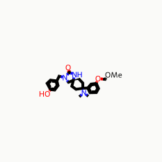 COCOc1cccc([C@]2(N(C)C)CC[C@@]3(CC2)CN(Cc2ccc(O)cc2)C(=O)N3)c1